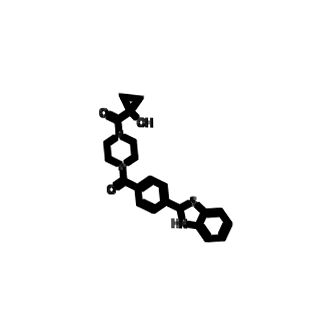 O=C(c1ccc(C2Nc3ccccc3S2)cc1)N1CCN(C(=O)C2(O)CC2)CC1